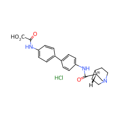 Cl.O=C(O)C(=O)Nc1ccc(-c2ccc(NC(=O)[C@H]3CN4CCC3CC4)cc2)cc1